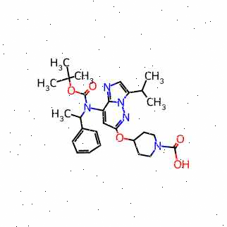 CC(C)c1cnc2c(N(C(=O)OC(C)(C)C)C(C)c3ccccc3)cc(OC3CCN(C(=O)O)CC3)nn12